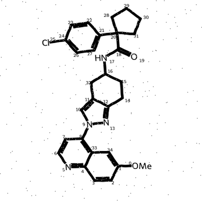 COc1ccc2nccc(-n3cc4c(n3)CCC(NC(=O)C3(c5ccc(Cl)cc5)CCCC3)C4)c2c1